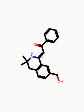 CC1(C)Cc2ccc(CO)cc2/C(=C/C(=O)c2ccccc2)N1